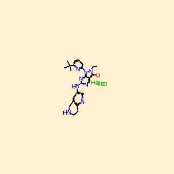 CCn1c(=O)c2cnc(Nc3cnc4c(c3)CNCC4)nc2n1-c1cccc(C(C)(C)C)n1.Cl.Cl.Cl